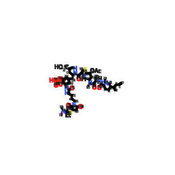 C=CCC(C)C1CCC(C(=O)N[C@H](C(=O)N(C)[C@H](C[C@@H](OC(C)=O)c2nc(C(=O)N[C@@H](Cc3ccc(OP(=O)(O)O)c(NC(=O)CCCCN4C(=O)CC(SC(CC)(CCC)N(C)I)C4=O)c3)CC(C)C(=O)O)cs2)C(C)C)[C@@H](C)CC)N(C)C1